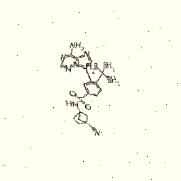 BC(B)(B)c1ccc(S(=O)(=O)NC23CCC(C#N)(C2)C3)cc1-c1cnc2c(N)ncnn12